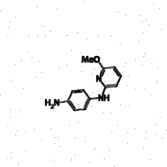 COc1cccc(Nc2ccc(N)cc2)n1